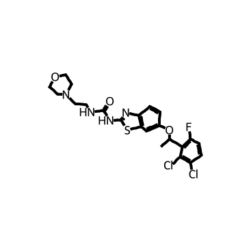 CC(Oc1ccc2nc(NC(=O)NCCN3CCOCC3)sc2c1)c1c(F)ccc(Cl)c1Cl